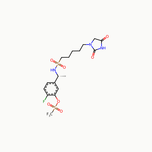 C[C@@H](NS(=O)(=O)CCCCCN1CC(=O)NC1=O)c1ccc(F)c(OS(=O)(=O)C(F)(F)F)c1